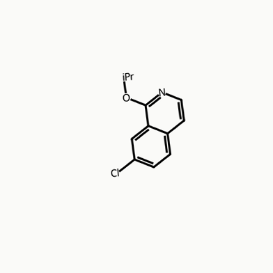 CC(C)Oc1nccc2ccc(Cl)cc12